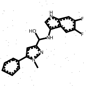 Cn1nc(C(O)Nc2c[nH]c3cc(F)c(F)cc23)cc1-c1ccccc1